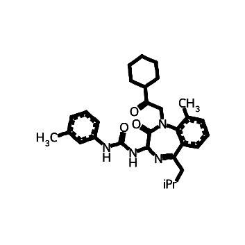 Cc1cccc(NC(=O)NC2N=C(CC(C)C)c3cccc(C)c3N(CC(=O)C3CCCCC3)C2=O)c1